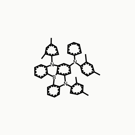 Cc1ccc(N(c2ccccc2)c2cc3c4c(c2)N(c2ccc(C)cc2C)c2ccccc2B4c2ccccc2N3c2ccc(C)cc2C)c(C)c1